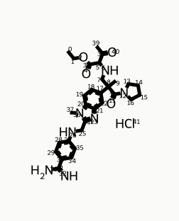 CCOC(=O)C(NCC(C)(C(=O)N1CCCC1)c1ccc2c(c1)nc(CNc1ccc(C(=N)N)cc1)n2C)C(C)=O.Cl